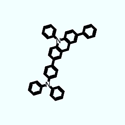 c1ccc(-c2ccc3c(c2)Cc2cc(-c4ccc(N(c5ccccc5)c5ccccc5)cc4)ccc2N3c2ccccc2)cc1